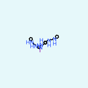 Ic1cc(NCCCNC2CCCCC2)nc(NCc2ccc(CNCCCNC3CCCCC3)cc2)n1